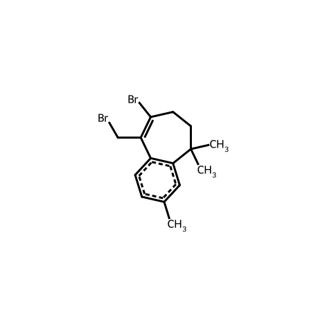 Cc1ccc2c(c1)C(C)(C)CCC(Br)=C2CBr